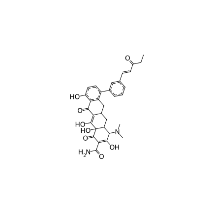 CCC(=O)/C=C/c1cccc(-c2ccc(O)c3c2CC2CC4C(N(C)C)C(O)=C(C(N)=O)C(=O)C4(O)C(O)=C2C3=O)c1